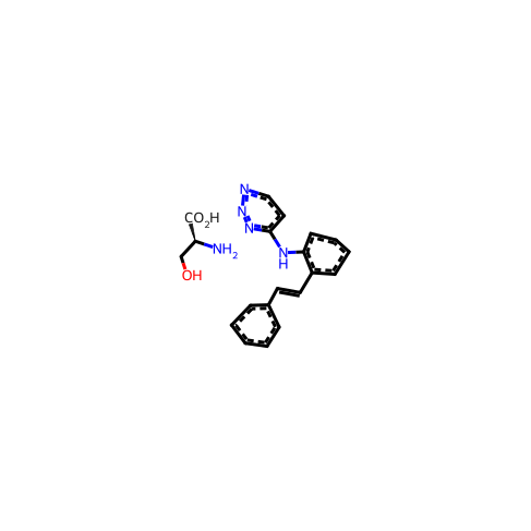 C(=Cc1ccccc1Nc1ccnnn1)c1ccccc1.N[C@@H](CO)C(=O)O